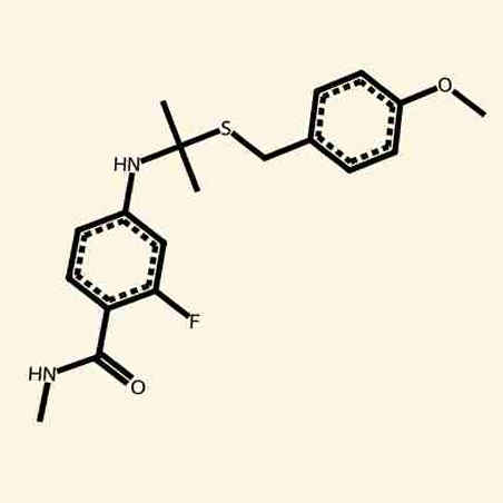 CNC(=O)c1ccc(NC(C)(C)SCc2ccc(OC)cc2)cc1F